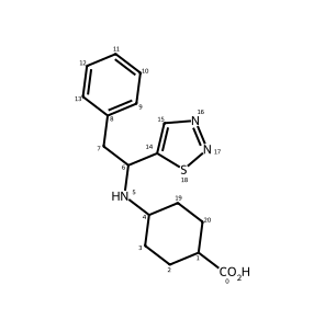 O=C(O)C1CCC(NC(Cc2ccccc2)c2cnns2)CC1